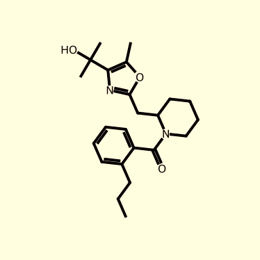 CCCc1ccccc1C(=O)N1CCCCC1Cc1nc(C(C)(C)O)c(C)o1